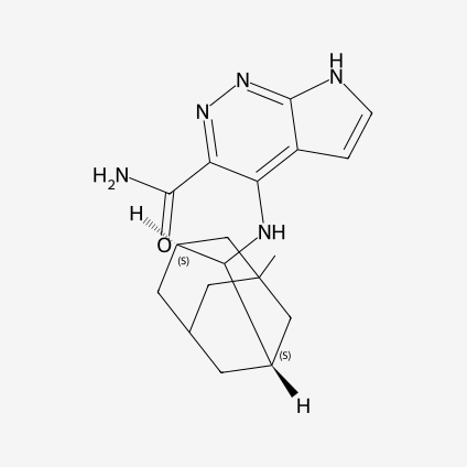 CC12CC3C[C@@H](C1)C(Nc1c(C(N)=O)nnc4[nH]ccc14)[C@@H](C3)C2